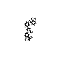 N#Cc1ccccc1Oc1cccc(C2CC(=O)N(c3cccc(C(N)=O)c3)C2)c1